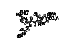 COC1(C(=O)O)CS[C@@H]2C(NC(=O)C(=NOCC(=O)OC(C)(C)C)c3csc(NC=O)n3)C(=O)N2C1